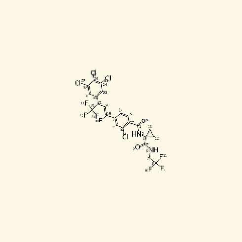 O=C(NC1(C(=O)NCC(F)(F)F)CC1)c1ccc(C(F)=CC(c2cc(Cl)c(Cl)c(Cl)c2)C(F)(F)F)cc1Cl